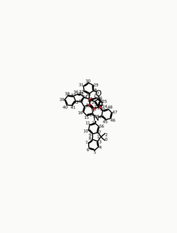 CC1(C)c2ccccc2-c2ccc(N(c3ccc4c(c3)C3(c5ccccc5Oc5ccccc53)c3ccc5ccccc5c3-4)c3ccccc3-c3ccccc3)cc21